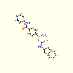 NC(CC(=O)NC1Cc2ccccc2C1)c1ccc(C(=O)Nc2ccncc2)cc1